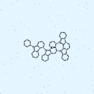 c1ccc(-n2c3ccccc3c3c(-n4c5ccccc5c5cc(-n6c7ccccc7c7ccc8c9ccccc9n(-c9ccccc9)c8c76)ccc54)cccc32)cc1